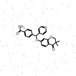 CC1(C)COc2cc(OC(c3ccncc3)c3ccc(C(N)=O)cc3)ccc2C1=O